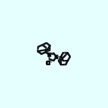 C1=[N+](C23CC4CC(CC(C4)C2)C3)CCN1C12CC3CC(CC(C3)C1)C2.[Cl-]